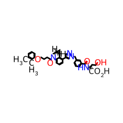 Cc1cccc(OCCCC(=O)N2C[C@@H]3C[C@@H]3c3c(-c4cnn(Cc5cccc(C(=O)N[C@@H](CCO)C(=O)O)c5)c4)cccc32)c1C